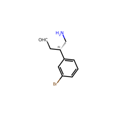 NC[C@@H](CC=O)c1cccc(Br)c1